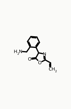 C=CC1=NC(c2ccccc2CN)C(=O)O1